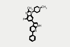 Cc1nc2c(F)cc(-c3c[nH]c4nc(-c5ccccc5)ccc34)cc2n1C1CCN(C)CC1